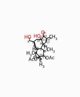 CC(=O)O[C@@H]1[C@@H](C)C2[C@@H](C=C(CO)C[C@]3(O)C(=O)C(C)=C[C@@H]23)C(C)(C)[C@]1(C)OC(C)=O